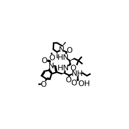 CCC[C@@H](NC(=O)[C@@H](Cc1cn(C(=O)OC)c2ccc(OC)cc12)NC(=O)[C@H](CC(C)(C)C)NC(=O)N1[C@H](C)CCC[C@@H]1C)C(=O)O